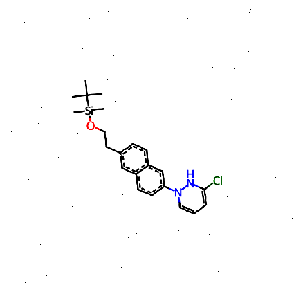 CC(C)(C)[Si](C)(C)OCCc1ccc2cc(N3C=CC=C(Cl)N3)ccc2c1